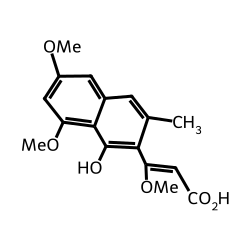 COC(=CC(=O)O)c1c(C)cc2cc(OC)cc(OC)c2c1O